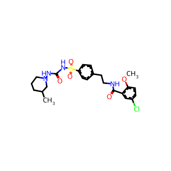 COc1ccc(Cl)cc1C(=O)NCCc1ccc(S(=O)(=O)NC(=O)NN2CCCC(C)C2)cc1